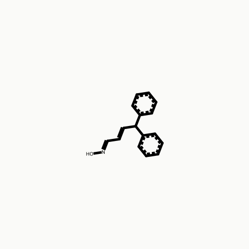 ON=CC=CC(c1ccccc1)c1ccccc1